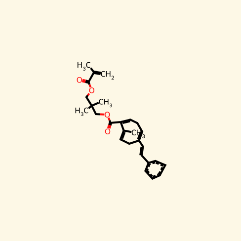 C=C(C)C(=O)OCC(C)(C)COC(=O)C1=CC/C=C(/C=C/c2ccccc2)C/C=C/1C